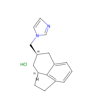 Cl.c1cc2c3c(c1)C[C@H](Cn1ccnc1)C[C@@H]3CC2